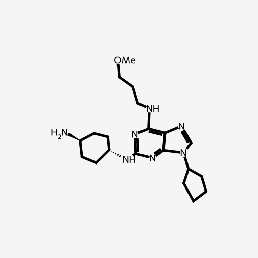 COCCCNc1nc(N[C@H]2CC[C@H](N)CC2)nc2c1ncn2C1CCCC1